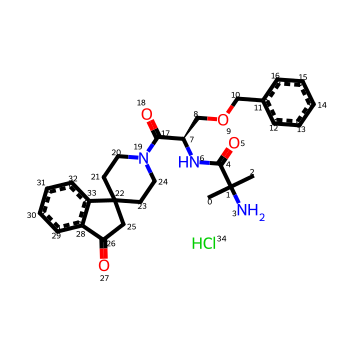 CC(C)(N)C(=O)N[C@H](COCc1ccccc1)C(=O)N1CCC2(CC1)CC(=O)c1ccccc12.Cl